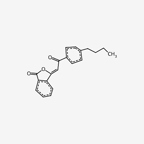 CCCCc1ccc(C(=O)C=C2OC(=O)c3ccccc32)cc1